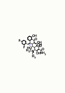 CN(C)C1C(O)=C(C(N)=O)C(=O)C2(O)C(O)=C3C(=O)c4c(O)cccc4/C(=C\c4ccc(F)cc4F)C3C(O)C12